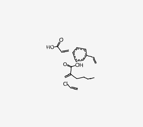 C=C(CCCC)C(=O)O.C=CC(=O)O.C=CCl.C=Cc1ccccc1